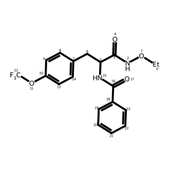 CCONC(=O)C(Cc1ccc(OC(F)(F)F)cc1)NC(=O)c1ccccc1